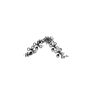 O=S(=O)([O-])[O-].O=S(=O)([O-])[O-].O=S(=O)([O-])[O-].O=S(=O)([O-])[O-].[Fe+3].[Fe+3].[Fe+3].[NH4+].[NH4+].[NH4+].[OH-].[OH-].[OH-].[OH-]